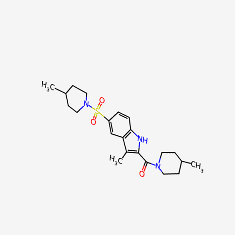 Cc1c(C(=O)N2CCC(C)CC2)[nH]c2ccc(S(=O)(=O)N3CCC(C)CC3)cc12